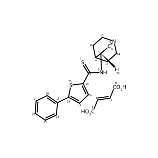 O=C(O)/C=C/C(=O)O.S=C(N[C@H]1CN2CCC1CC2)c1ccc(-c2ccccc2)s1